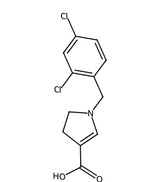 O=C(O)C1=CN(Cc2ccc(Cl)cc2Cl)CC1